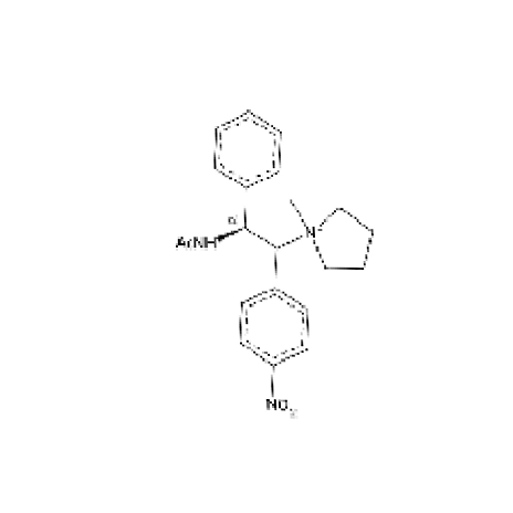 CC(=O)N[C@@H](c1ccccc1)C(c1ccc([N+](=O)[O-])cc1)[N+]1(C)CCCC1